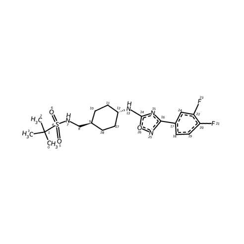 CC(C)(C)S(=O)(=O)NC[C@H]1CC[C@H](Nc2nc(-c3ccc(F)c(F)c3)no2)CC1